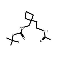 CC(=O)NCCC1(CNC(=O)OC(C)(C)C)CCC1